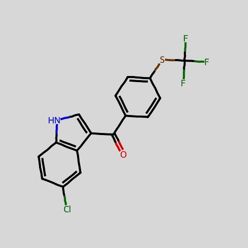 O=C(c1ccc(SC(F)(F)F)cc1)c1c[nH]c2ccc(Cl)cc12